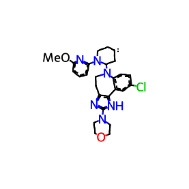 COc1cccc(N2CC[C]CC2N2CCc3nc(N4CCOCC4)[nH]c3-c3cc(Cl)ccc32)n1